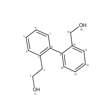 OCCc1[c]cccc1-c1ccccc1CO